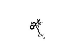 CCCCCOc1c([N+](=O)[O-])cnc2ccccc12